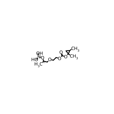 CC1CC1(C)OC(=O)OCCOC[C@@H](C)ON(O)O